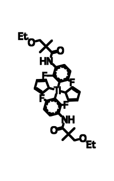 CCOCC(C)(C)C(=O)Nc1ccc(F)[c]([Ti]([c]2c(F)ccc(NC(=O)C(C)(C)COCC)c2F)([CH]2C=CC=C2)[CH]2C=CC=C2)c1F